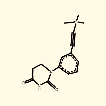 CS(C)(C)C#Cc1cccc(N2CCC(=O)NC2=O)c1